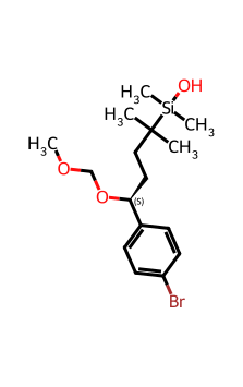 COCO[C@@H](CCC(C)(C)[Si](C)(C)O)c1ccc(Br)cc1